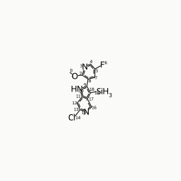 COc1ncc(F)cc1-c1[nH]c2cc(Cl)ncc2c1[SiH3]